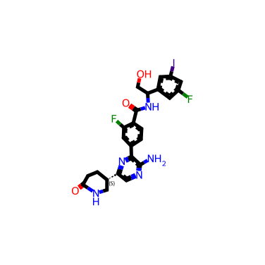 Nc1ncc([C@H]2CCC(=O)NC2)nc1-c1ccc(C(=O)NC(CO)c2cc(F)cc(I)c2)c(F)c1